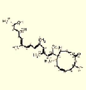 CC(=CC=CC(C)=CC[C@H](O)C[C@H](C)O)C=C(C)C=C(C(=O)O)[C@H]1CCCC(=O)O[C@@H](C(C)C)CC=CC[C@@H]1C